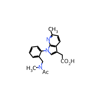 CC(=O)N(C)Cc1ccccc1-n1cc(CC(=O)O)c2ccc(C)nc21